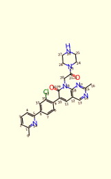 Cc1cccc(-c2ccc(-c3cc4cnc(C)nc4n(CC(=O)N4CCNCC4)c3=O)c(Cl)c2)n1